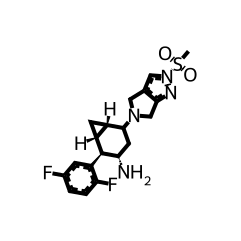 CS(=O)(=O)n1cc2c(n1)CN(C1C[C@H](N)[C@@H](c3cc(F)ccc3F)[C@@H]3C[C@H]13)C2